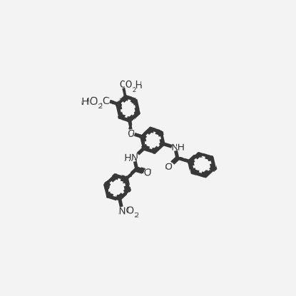 O=C(Nc1ccc(Oc2ccc(C(=O)O)c(C(=O)O)c2)c(NC(=O)c2cccc([N+](=O)[O-])c2)c1)c1ccccc1